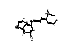 C\C=C/C(=C\C=N\c1nc(Cl)nc2[nH]cnc12)N(C)C